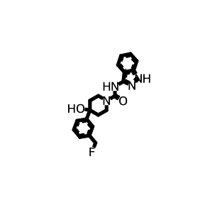 O=C(Nc1n[nH]c2ccccc12)N1CCC(O)(c2cccc(CF)c2)CC1